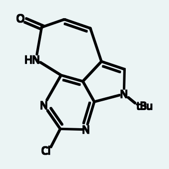 CC(C)(C)n1cc2c3c(nc(Cl)nc31)NC(=O)C=C2